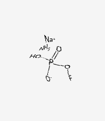 N.O=P([O-])(O)OF.[Na+]